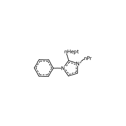 CCCCCCCc1n(-c2ccccc2)cc[n+]1CCC